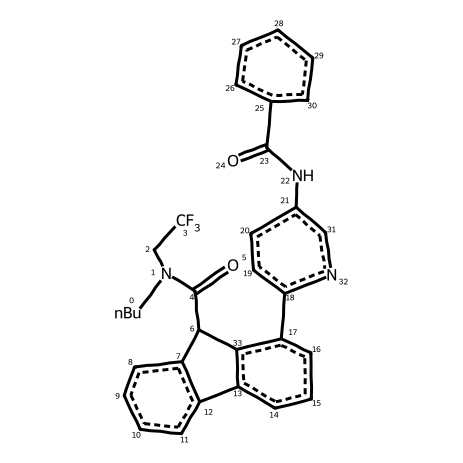 CCCCN(CC(F)(F)F)C(=O)C1c2ccccc2-c2cccc(-c3ccc(NC(=O)c4ccccc4)cn3)c21